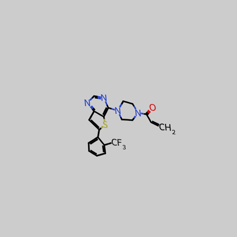 C=CC(=O)N1CCN(c2ncnc3cc(-c4ccccc4C(F)(F)F)sc23)CC1